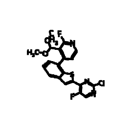 COC(OC)c1c(-c2cccc3cc(-c4nc(Cl)ncc4F)sc23)ccnc1F